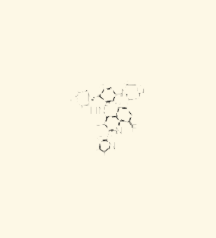 Cc1c(-c2nccs2)nc2c(F)cccc2c1Nc1cc(N2CCOCC2)ccc1N1CCOCC1